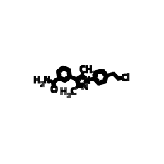 Cc1nn(-c2ccc(CCCl)cc2)c(C)c1-c1cccc(C(N)=O)c1